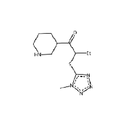 CCC(Sc1nnnn1C)C(=O)C1CCCNC1